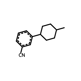 CC1CCC(c2cccc(C#N)c2)CC1